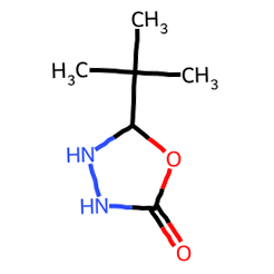 CC(C)(C)C1NNC(=O)O1